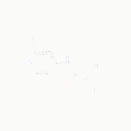 CC(C)C(=O)Nc1ccnc(F)c1